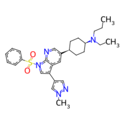 CCCN(CC)[C@H]1CC[C@@H](c2cnc3c(c2)c(-c2cnn(C)c2)cn3S(=O)(=O)c2ccccc2)CC1